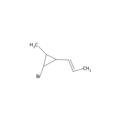 CC=CC1C(C)C1Br